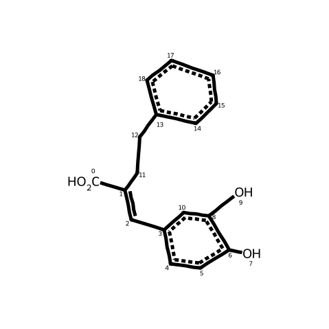 O=C(O)C(=Cc1ccc(O)c(O)c1)CCc1ccccc1